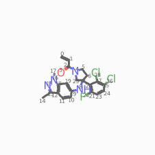 C=CC(=O)N1CCC(Nc2ccc3c(C)nn(C)c3c2)(c2c(F)ccc(Cl)c2Cl)C1